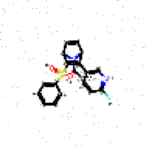 COC(=O)N1C2C=CC1C(S(=O)(=O)c1ccccc1)=C2c1ccc(F)nc1